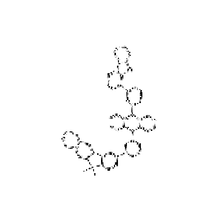 CC1(C)c2ccc(-c3cccc(-c4c5ccccc5c(-c5cccc(-c6cccc7c6oc6ccccc67)c5)c5ccccc45)c3)cc2-c2cc3ccccc3cc21